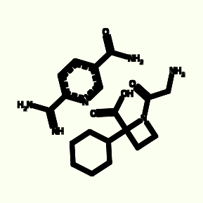 N=C(N)c1ccc(C(N)=O)cn1.NCC(=O)N1CCC1(C(=O)O)C1CCCCC1